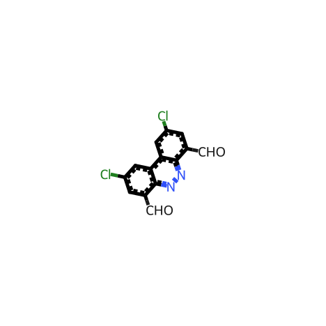 O=Cc1cc(Cl)cc2c1nnc1c(C=O)cc(Cl)cc12